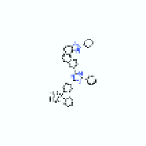 CC1(C)c2ccccc2-c2cc(-c3nc(-c4ccccc4)nc(-c4ccc5c(ccc6ccc7nn(-c8ccccc8)nc7c65)c4)n3)ccc21